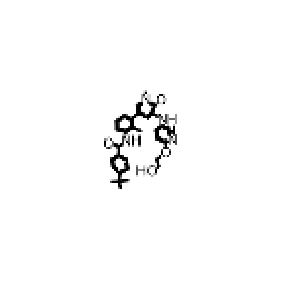 Cc1c(NC(=O)c2ccc(C(C)(C)C)cc2)cccc1-c1cc(Nc2ccc(OCCO)nn2)c(=O)n(C)c1